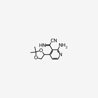 CC1(C)OCC(c2ccnc(N)c2C(=N)C#N)O1